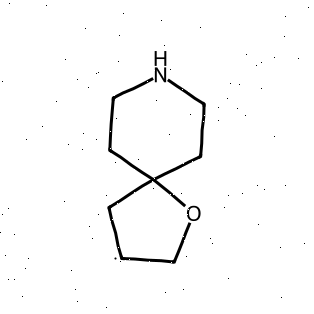 [CH]1COC2(C1)CCNCC2